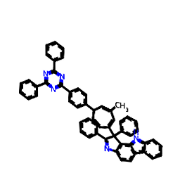 CC1=CC(c2ccc(-c3nc(-c4ccccc4)nc(-c4ccccc4)n3)cc2)C=CC(C2(c3ccccc3)C(c3ccccc3)=Nc3ccc4c([nH]c5ccccc54)c32)=C1